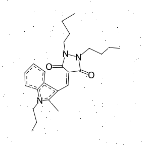 CCCCN1C(=O)C(=Cc2c(C)n(CCC)c3ccccc23)C(=O)N1CCCC